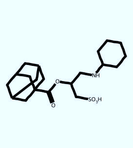 O=C(OC(CNC1CCCCC1)CS(=O)(=O)O)C12CC3CC(CC(C3)C1)C2